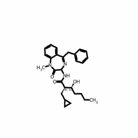 CCCC[C@H](O)[C@@H](CC1CC1)C(=O)NC1N=C(Cc2ccccc2)c2ccccc2N(C)C1=O